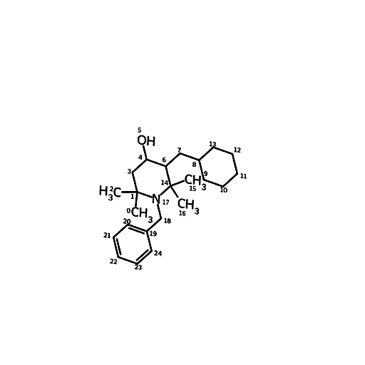 CC1(C)CC(O)C(CC2CCCCC2)C(C)(C)N1Cc1ccccc1